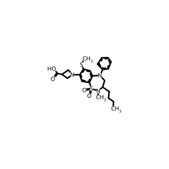 CCCCC1CN(c2ccccc2)c2cc(SC)c(N3CC(C(=O)O)C3)cc2S(=O)(=O)N1C